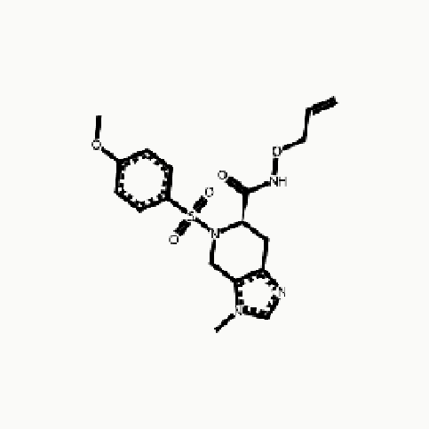 C=CCONC(=O)[C@H]1Cc2ncn(C)c2CN1S(=O)(=O)c1ccc(OC)cc1